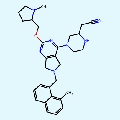 Cc1cccc2cccc(CN3Cc4nc(OCC5CCCN5C)nc(N5CCNC(CC#N)C5)c4C3)c12